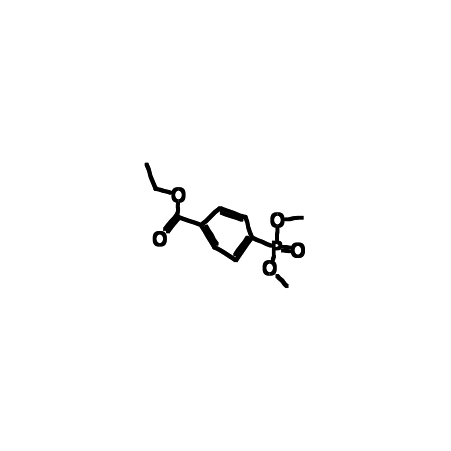 CCOC(=O)c1ccc(P(=O)(OC)OC)cc1